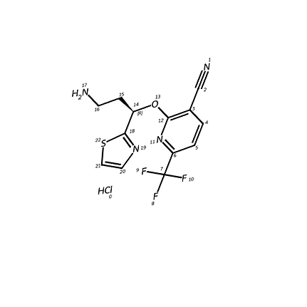 Cl.N#Cc1ccc(C(F)(F)F)nc1O[C@H](CCN)c1nccs1